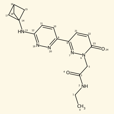 CCNC(=O)Cn1nc(-c2ccc(NC34CC(C3)C4)nn2)ccc1=O